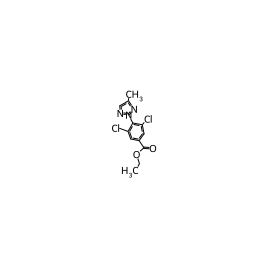 CCOC(=O)c1cc(Cl)c(-n2ncc(C)n2)c(Cl)c1